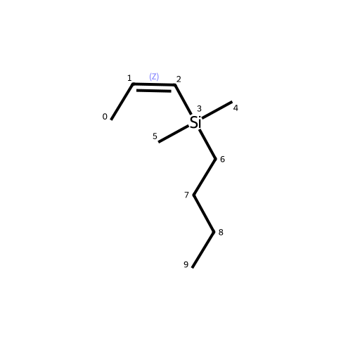 C/C=C\[Si](C)(C)CCCC